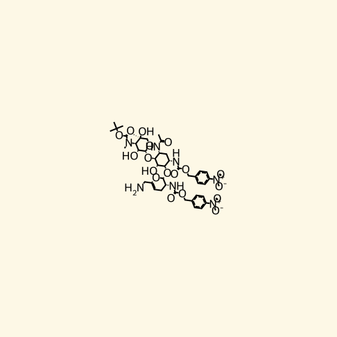 CC(=O)N[C@@H]1C[C@H](NC(=O)OCc2ccc([N+](=O)[O-])cc2)[C@@H](O[C@H]2OC(CN)=CC[C@H]2NC(=O)OCc2ccc([N+](=O)[O-])cc2)[C@H](O)[C@H]1O[C@H]1OC[C@](C)(O)[C@H](N(C)C(=O)OC(C)(C)C)[C@H]1O